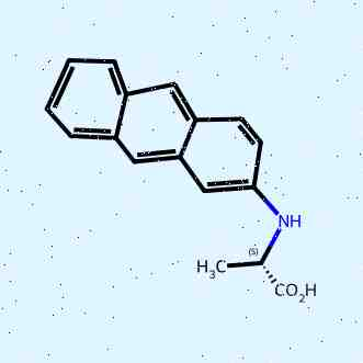 C[C@H](Nc1ccc2cc3ccccc3cc2c1)C(=O)O